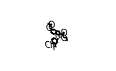 CCOC(=O)c1cc2cc(OC(C)=O)ccc2n1Cc1ccc(Cl)c(F)c1